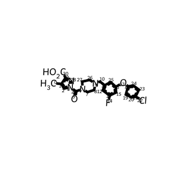 Cc1cn(C(=O)N2CCN(Cc3cc(F)cc(Oc4ccc(Cl)cc4)c3)CC2)nc1C(=O)O